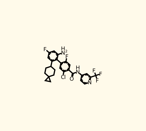 Nc1cc(F)cc(C2CCC3(CC2)CC3)c1-c1cc(Cl)c(C(=O)Nc2ccnc(C(F)(F)F)c2)cc1F